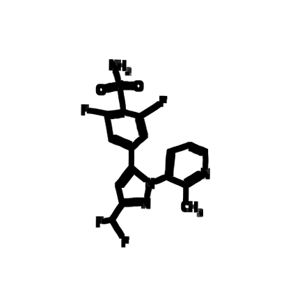 Cc1ncccc1-n1nc(C(F)F)cc1-c1cc(F)c(S(N)(=O)=O)c(F)c1